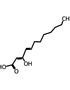 CCCCCCCC=CC(O)=CC(=O)O